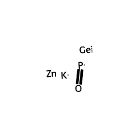 O=[P].[Ge].[K].[Zn]